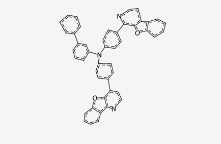 c1ccc(-c2cccc(N(c3ccc(-c4nccc5c4oc4ccccc45)cc3)c3ccc(-c4ccnc5c4oc4ccccc45)cc3)c2)cc1